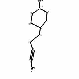 CCCN1CCC(CCC#CC(C)C)CC1